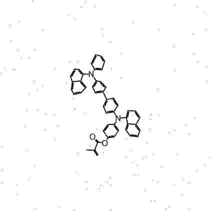 C=C(C)C(=O)Oc1ccc(N(c2ccc(-c3ccc(N(c4ccccc4)c4cccc5ccccc45)cc3)cc2)c2cccc3ccccc23)cc1